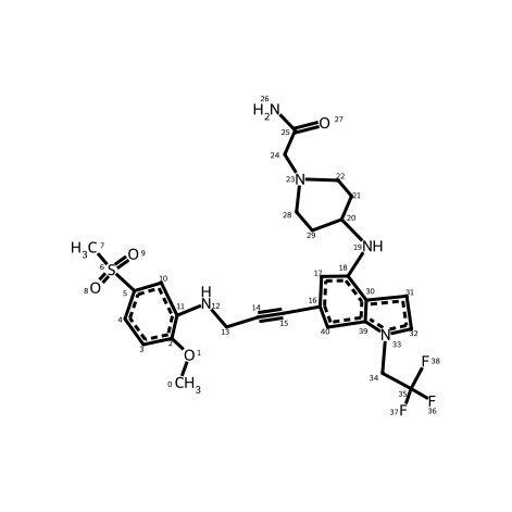 COc1ccc(S(C)(=O)=O)cc1NCC#Cc1cc(NC2CCN(CC(N)=O)CC2)c2ccn(CC(F)(F)F)c2c1